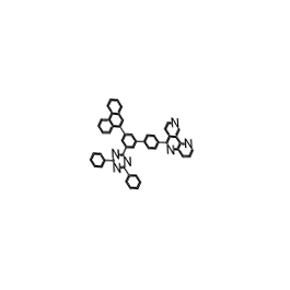 c1ccc(-c2nc(-c3ccccc3)nc(-c3cc(-c4ccc(-c5nc6cccnc6c6cnccc56)cc4)cc(-c4cc5ccccc5c5ccccc45)c3)n2)cc1